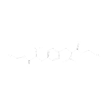 CCOC(=O)C(Cc1ccc(CC(C(=O)OCC)[N+](=O)[O-])cc1)[N+](=O)[O-]